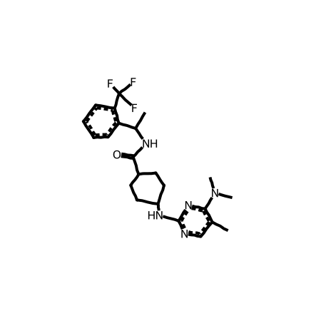 Cc1cnc(NC2CCC(C(=O)NC(C)c3ccccc3C(F)(F)F)CC2)nc1N(C)C